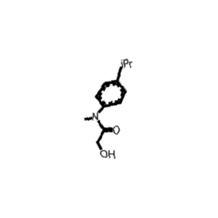 CC(C)c1ccc(N(C)C(=O)CO)cc1